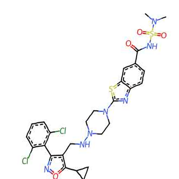 CN(C)S(=O)(=O)NC(=O)c1ccc2nc(N3CCN(NCc4c(-c5c(Cl)cccc5Cl)noc4C4CC4)CC3)sc2c1